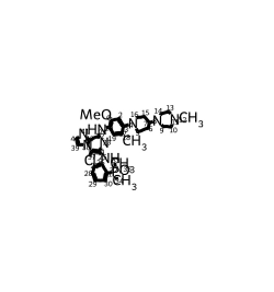 COc1cc(N2CCC(N3CCN(C)CC3)CC2)c(C)cc1Nc1nc(Nc2ccccc2P(C)(C)=O)c(Cl)n2ccnc12